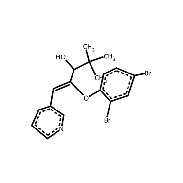 CC(C)(C)C(O)C(=Cc1cccnc1)Oc1ccc(Br)cc1Br